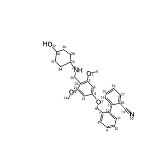 COc1cc(OCc2ccccc2-c2ccccc2C#N)cc(OC)c1CNC1CCC(O)CC1